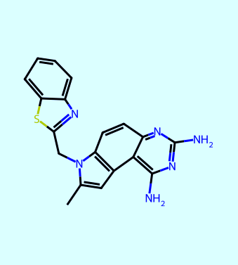 Cc1cc2c3c(N)nc(N)nc3ccc2n1Cc1nc2ccccc2s1